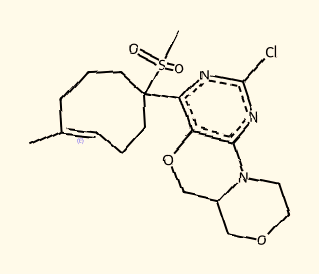 C/C1=C\CCC(c2nc(Cl)nc3c2OCC2COCCN32)(S(C)(=O)=O)CCC1